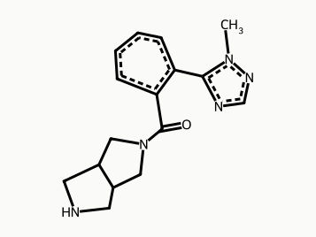 Cn1ncnc1-c1ccccc1C(=O)N1CC2CNCC2C1